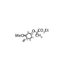 CCOC(=O)C(C)Oc1ccc(F)c(OC)c1